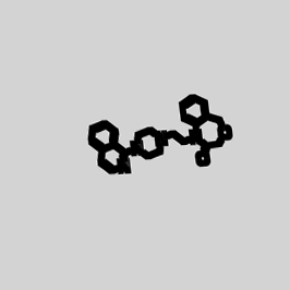 O=C1COCc2ccccc2N1CCN1CCN(c2nccc3ccccc23)CC1